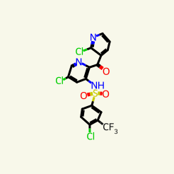 O=C(c1cccnc1Cl)c1ncc(Cl)cc1NS(=O)(=O)c1ccc(Cl)c(C(F)(F)F)c1